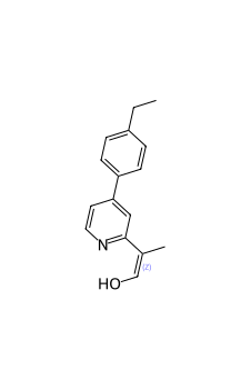 CCc1ccc(-c2ccnc(/C(C)=C\O)c2)cc1